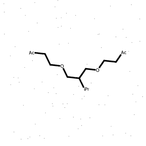 CC(=O)CCOCC(COCCC(C)=O)C(C)C